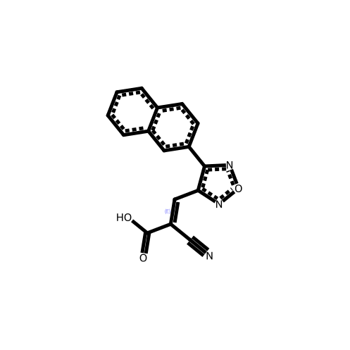 N#C/C(=C\c1nonc1-c1ccc2ccccc2c1)C(=O)O